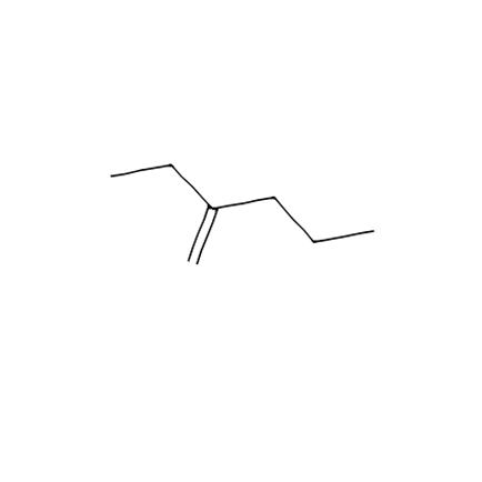 [CH2]CC(=C)CCC